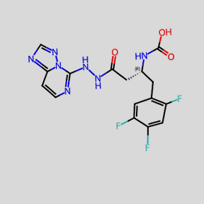 O=C(O)N[C@@H](CC(=O)NNc1nccc2ncnn12)Cc1cc(F)c(F)cc1F